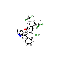 Cl.FC(F)(F)c1cc(CO[C@@H]2C3CCN(CC3)[C@@H]2C(c2ccccc2)c2ccccc2)cc(C(F)(F)F)c1